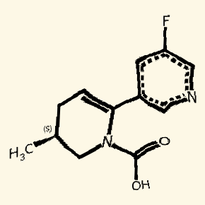 C[C@H]1CC=C(c2cncc(F)c2)N(C(=O)O)C1